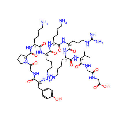 CC(C)[C@H](NC(=O)[C@H](CCCCN)NC(=O)[C@H](CCCNC(=N)N)NC(=O)[C@H](CCCCN)NC(=O)[C@H](CCCCN)NC(=O)[C@H](CCCCN)NC(=O)[C@@H]1CCCN1C(=O)CNC(=O)[C@@H](N)Cc1ccc(O)cc1)C(=O)NCC(=O)NCC(=O)O